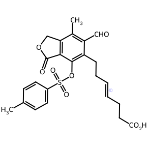 Cc1ccc(S(=O)(=O)Oc2c(CC/C=C/CCC(=O)O)c(C=O)c(C)c3c2C(=O)OC3)cc1